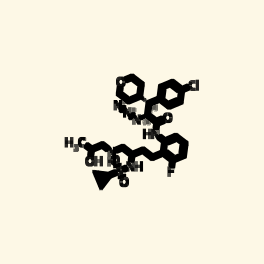 CC(O)CNCC(CCc1c(F)cccc1NC(=O)[C@@H](N=[N+]=[N-])[C@@H](c1ccc(Cl)cc1)C1CCOCC1)NS(=O)(=O)C1CC1